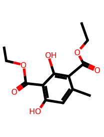 CCOC(=O)c1c(C)cc(O)c(C(=O)OCC)c1O